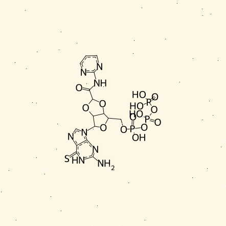 Nc1nc2c(ncn2C2OC(COP(=O)(O)OP(=O)(O)OP(=O)(O)O)C3OC(C(=O)Nc4ncccn4)OC32)c(=S)[nH]1